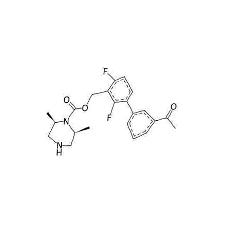 CC(=O)c1cccc(-c2ccc(F)c(COC(=O)N3[C@H](C)CNC[C@@H]3C)c2F)c1